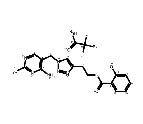 Cc1ncc(Cn2cc(CCNC(=O)c3ccccc3O)nn2)c(N)n1.O=C(O)C(F)(F)F